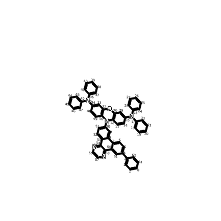 c1ccc(-c2ccc3c4cc(N5c6ccc(N(c7ccccc7)c7ccccc7)cc6Oc6cc(N(c7ccccc7)c7ccccc7)ccc65)ccc4c4nccnc4c3c2)cc1